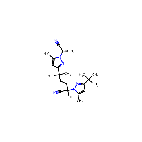 Cc1cc(C(C)(C)CCC(C)(C#N)n2nc(C(C)(C)C)cc2C)nn1[C@H](C)C#N